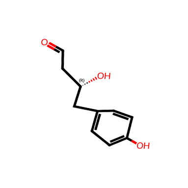 O=CC[C@H](O)Cc1ccc(O)cc1